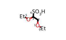 CCOCC(OCC)S(=O)(=O)O